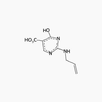 C=CCNc1ncc(C(=O)O)c(O)n1